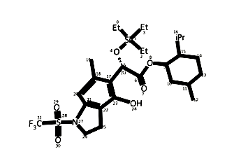 CC[Si](CC)(CC)O[C@H](C(=O)OC1CC(C)CCC1C(C)C)c1c(C)cc2c(c1O)CCN2S(=O)(=O)C(F)(F)F